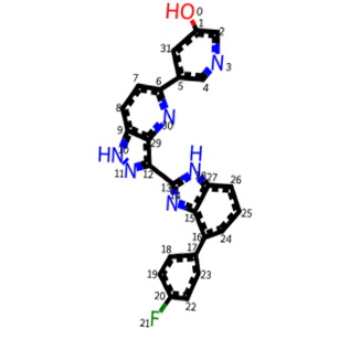 Oc1cncc(-c2ccc3[nH]nc(-c4nc5c(-c6ccc(F)cc6)cccc5[nH]4)c3n2)c1